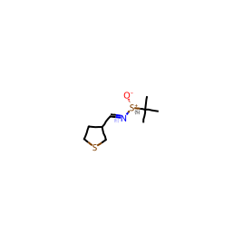 CC(C)(C)[S@@+]([O-])/N=C/C1CCSC1